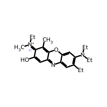 CCc1cc2nc3cc(O)/c(=[N+](\C)CC)c(C)c-3oc2cc1N(CC)CC